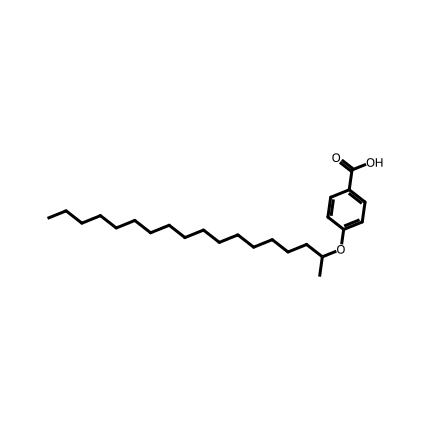 CCCCCCCCCCCCCCCCC(C)Oc1ccc(C(=O)O)cc1